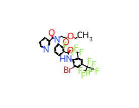 CCOC(=O)CN(C(=O)c1cccnc1)c1cccc(C(=O)Nc2c(Br)cc(C(F)(C(F)(F)F)C(F)(F)F)cc2C(F)(F)F)c1F